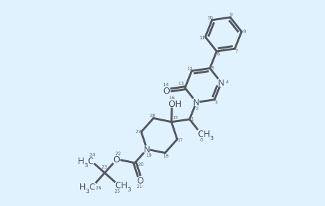 CC(n1cnc(-c2ccccc2)cc1=O)C1(O)CCN(C(=O)OC(C)(C)C)CC1